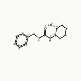 O=C(N[C@@H]1CCCC[C@H]1O)OCc1ccccc1